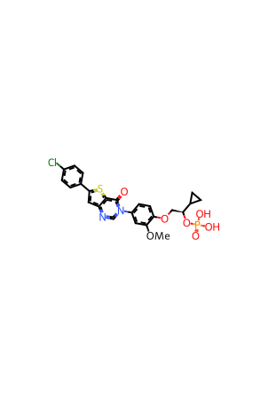 COc1cc(-n2cnc3cc(-c4ccc(Cl)cc4)sc3c2=O)ccc1OC[C@H](OP(=O)(O)O)C1CC1